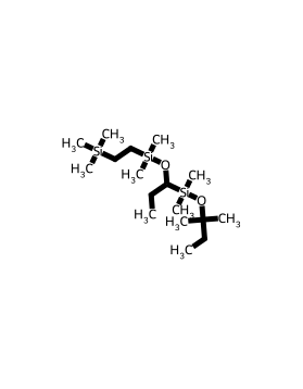 CCC(O[Si](C)(C)CC[Si](C)(C)C)[Si](C)(C)OC(C)(C)CC